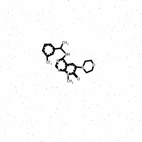 CC(Nc1ncnc2c1cc(N1CCOCC1)c(=O)n2C)c1cccc(C(F)(F)F)c1